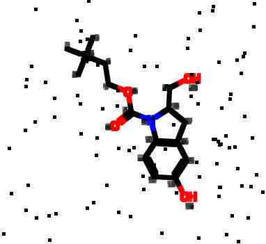 C[Si](C)(C)CCOC(=O)N1c2ccc(O)cc2CC1CO